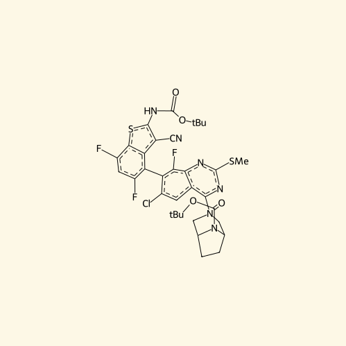 CSc1nc(N2CC3CCC(C2)N3C(=O)OC(C)(C)C)c2cc(Cl)c(-c3c(F)cc(F)c4sc(NC(=O)OC(C)(C)C)c(C#N)c34)c(F)c2n1